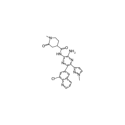 CN1CCC(C(=O)Nc2nc(-c3cc(Cl)c4ncccc4c3)c(-c3ccn(C)n3)nc2N)CC1=O